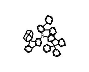 c1ccc(-c2cccc(N(c3ccc4c(c3)C(c3ccccc3)(c3ccccc3)c3ccccc3-4)c3ccc4c(c3)C3(c5ccccc5-4)C4CC5CC(C4)CC3C5)c2-c2ccccc2)cc1